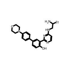 CCC(N)CNc1ccnc(-c2cc(-c3ccc(N4CCOCC4)cc3)ccc2O)n1